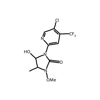 CON1C(=O)N(c2cc(C(F)(F)F)c(Cl)cn2)C(O)C1C